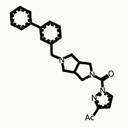 CC(=O)c1ccn(C(=O)N2CC3CN(Cc4cccc(-c5ccccc5)c4)CC3C2)n1